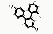 FC(F)(F)c1ccc(-c2ncc(Cl)nc2-c2ccncc2Cl)cc1